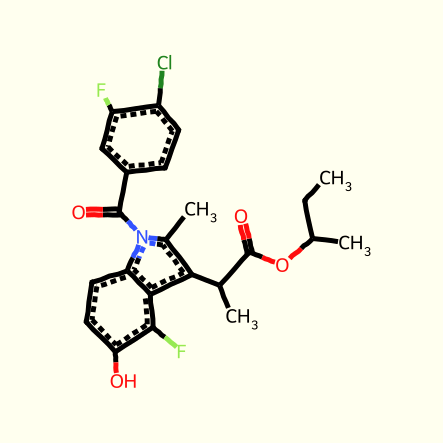 CCC(C)OC(=O)C(C)c1c(C)n(C(=O)c2ccc(Cl)c(F)c2)c2ccc(O)c(F)c12